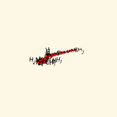 CCCCCCCCCCCCCSCCCCCCO[PH](=O)OCO[C@H](C)Cn1cnc2c(N)ncnc21.N